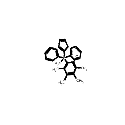 Cc1c(C)c(C)c(P(C)(C2=CC=CC2)(c2ccccc2)c2ccccc2)c(Cl)c1C